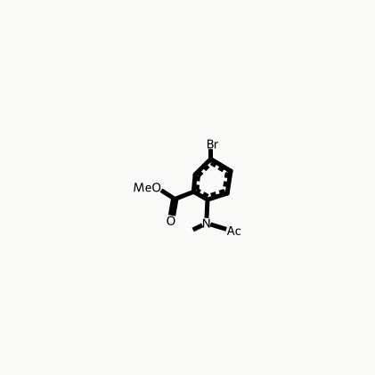 COC(=O)c1cc(Br)ccc1N(C)C(C)=O